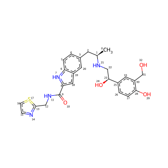 C[C@H](Cc1ccc2[nH]c(C(=O)NCc3nccs3)cc2c1)NC[C@H](O)c1ccc(O)c(CO)c1